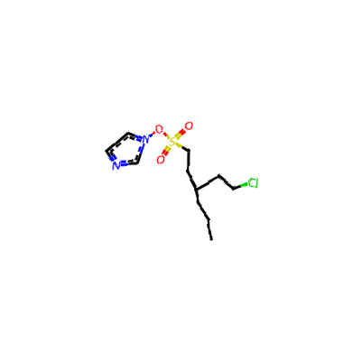 CCCC(CCCl)CCS(=O)(=O)On1ccnc1